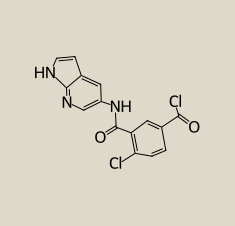 O=C(Cl)c1ccc(Cl)c(C(=O)Nc2cnc3[nH]ccc3c2)c1